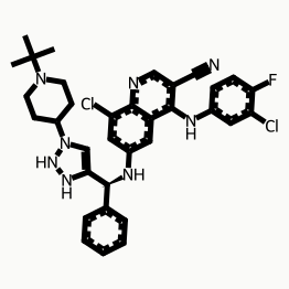 CC(C)(C)N1CCC(N2C=C([C@@H](Nc3cc(Cl)c4ncc(C#N)c(Nc5ccc(F)c(Cl)c5)c4c3)c3ccccc3)NN2)CC1